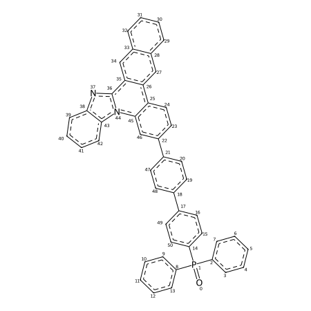 O=P(c1ccccc1)(c1ccccc1)c1ccc(-c2ccc(-c3ccc4c5cc6ccccc6cc5c5nc6ccccc6n5c4c3)cc2)cc1